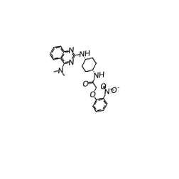 CN(C)c1nc(N[C@H]2CC[C@@H](NC(=O)COc3ccccc3[N+](=O)[O-])CC2)nc2ccccc12